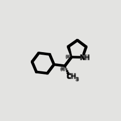 C[C@H](C1CCCCC1)[C@H]1CCCN1